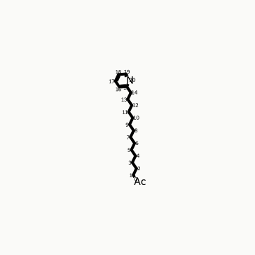 CC(=O)CCCCCCCCCCCCCCc1ccccn1